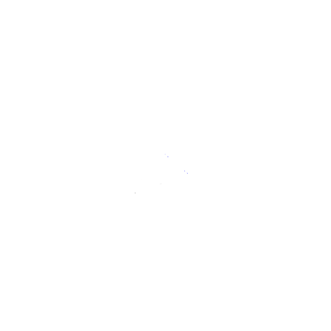 CC(C)(C)OC(=O)c1nc2ccccc2[nH]1